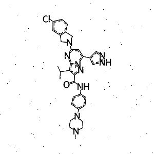 CC(C)c1c(C(=O)Nc2ccc(N3CCN(C)CC3)cc2)nn2c(-c3cn[nH]c3)cc(N3Cc4ccc(Cl)cc4C3)nc12